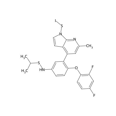 Cc1cc(-c2cc(NSC(C)C)ccc2Oc2ccc(F)cc2F)c2ccn(SI)c2n1